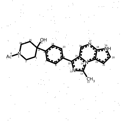 CC(=O)N1CCC(O)(c2ccc(-c3nc(C)n4c3cnc3[nH]ccc34)cc2)CC1